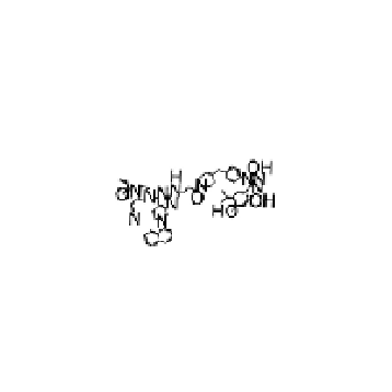 C=CC(=O)N1CCN(c2nc(NCCC(=O)N3CCC(Cc4ccc(-n5c(O)nnc5-c5cc(C(C)C)c(O)cc5O)cc4)CC3)nc3c2CCN(c2cccc4ccccc24)C3)CC1CC#N